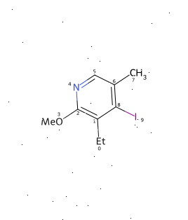 CCc1c(OC)ncc(C)c1I